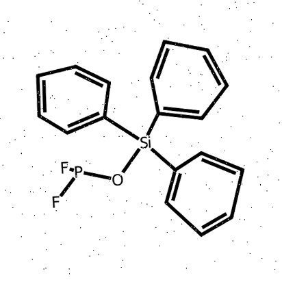 FP(F)O[Si](c1ccccc1)(c1ccccc1)c1ccccc1